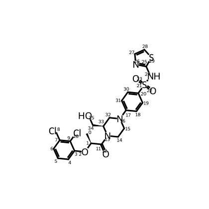 C[C@H](Oc1cccc(Cl)c1Cl)C(=O)N1CCN(c2ccc(S(=O)(=O)Nc3nccs3)cc2)C[C@@H]1CO